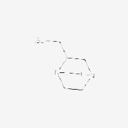 CC(C)(C)CC1CN2CCN1CC2